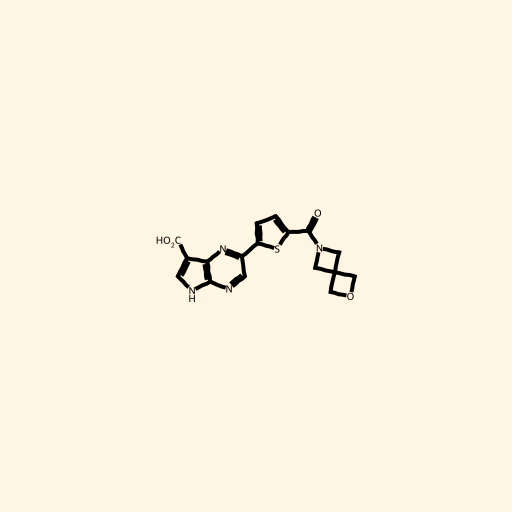 O=C(O)c1c[nH]c2ncc(-c3ccc(C(=O)N4CC5(COC5)C4)s3)nc12